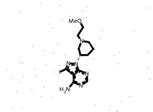 COCCN1CCC[C@H](n2nc(I)c3c(N)ncnc32)C1